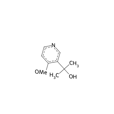 COc1ccncc1C(C)(C)O